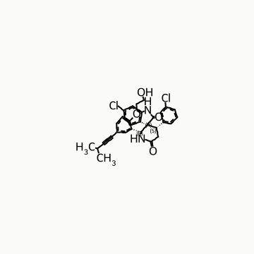 CC(C)C#Cc1ccc(OCCO)c([C@H]2NC(=O)C[C@@H](c3cccc(Cl)c3)[C@]23C(=O)Nc2cc(Cl)ccc23)c1